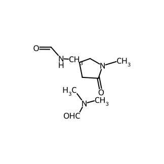 CN(C)C=O.CN1CCCC1=O.CNC=O